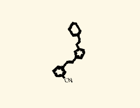 N#Cc1cccc(CCc2cccc(CCC3CCCCC3)c2)c1